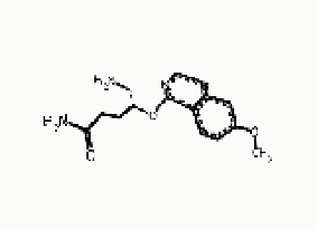 COc1ccc2c(O[C@@H](CN)CCC(N)=O)nccc2c1